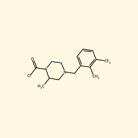 Cc1c(CN2CCN(C(=O)Cl)C(C)C2)cccc1C(F)(F)F